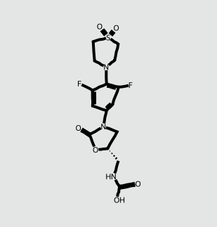 O=C(O)NC[C@H]1CN(c2cc(F)c(N3CCS(=O)(=O)CC3)c(F)c2)C(=O)O1